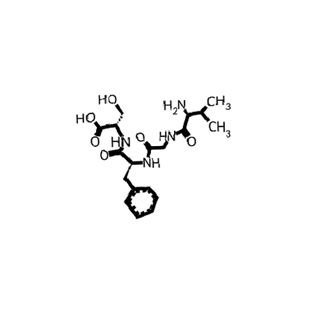 CC(C)[C@H](N)C(=O)NCC(=O)N[C@@H](Cc1ccccc1)C(=O)N[C@@H](CO)C(=O)O